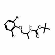 CC(COc1c(Br)cccc1Br)NC(=O)OC(C)(C)C